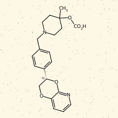 CC1(OC(=O)O)CCN(Cc2ccc([C@H]3COc4cccnc4O3)cc2)CC1